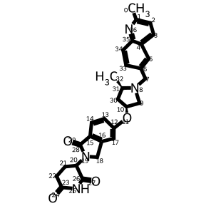 Cc1ccc2cc(CN3C[C@@H](Oc4ccc5c(c4)CN(C4CCC(=O)NC4=O)C5=O)C[C@H]3C)ccc2n1